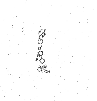 CC1(C(=O)O)CCCN1C(=O)c1ccc(-c2ccc(OCC3CCN(CC(F)(F)C(F)(F)F)CC3)cn2)c(F)c1